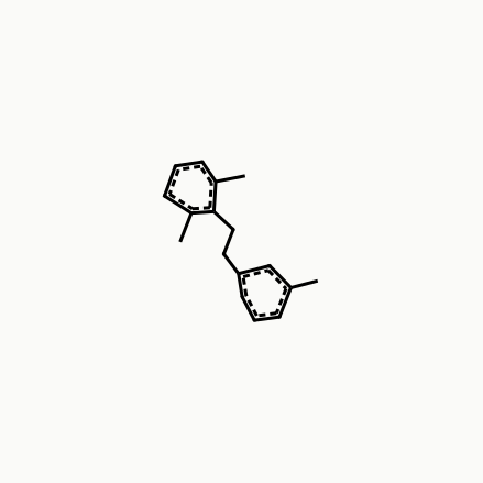 Cc1cccc(CCc2c(C)cccc2C)c1